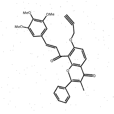 C#CCOc1ccc2c(=O)c(C)c(-c3ccccc3)oc2c1C(=O)C=Cc1cc(OC)c(OC)c(OC)c1